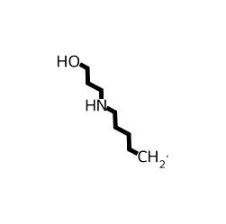 [CH2]CCCCNCCCO